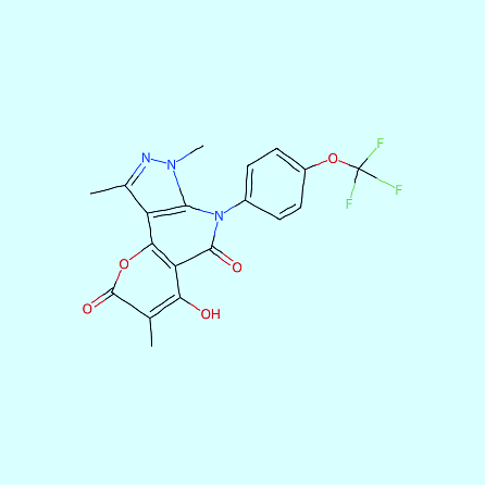 Cc1c(O)c2c(=O)n(-c3ccc(OC(F)(F)F)cc3)c3c(c(C)nn3C)c2oc1=O